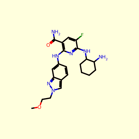 COCCn1cc2ccc(Nc3nc(NC4CCCCC4N)c(F)cc3C(N)=O)cc2n1